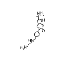 CC(C)(N)c1cc2cn(-c3ccc(CNCCCN)cc3)c(=O)nc2[nH]1